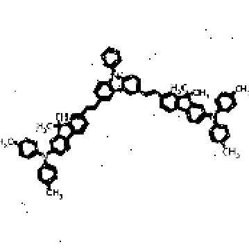 Cc1ccc(N(c2ccc(C)cc2)c2ccc3c(c2)C(C)(C)c2cc(/C=C/c4ccc5c(c4)c4cc(/C=C/c6ccc7c(c6)C(C)(C)c6cc(N(c8ccc(C)cc8)c8ccc(C)cc8)ccc6-7)ccc4n5-c4ccccc4)ccc2-3)cc1